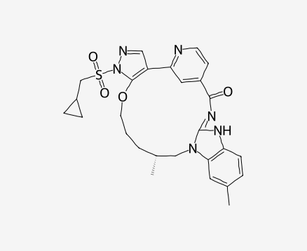 Cc1ccc2c(c1)N1C[C@H](C)CCCOc3c(cnn3S(=O)(=O)CC3CC3)-c3cc(ccn3)C(=O)/N=C/1N2